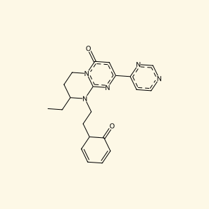 CCC1CCn2c(nc(-c3ccncn3)cc2=O)N1CCC1C=CC=CC1=O